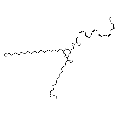 CC/C=C\C/C=C\C/C=C\C/C=C\C/C=C\C/C=C\CCC(=O)OC[C@@H](COC(=O)CCCCCCCCCCCC)OC(=O)CCCCCCCCCCCCCCCCCC